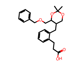 CC1(C)OCC(Cc2ccccc2CCC(=O)O)C(COCc2ccccc2)O1